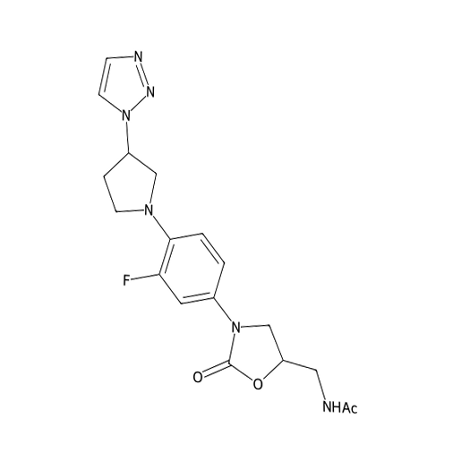 CC(=O)NCC1CN(c2ccc(N3CCC(n4ccnn4)C3)c(F)c2)C(=O)O1